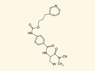 CC(C)CC(NC(=O)c1ccc(NC(=O)OCCCc2cccnc2)cc1)C(=O)N(C)C#N